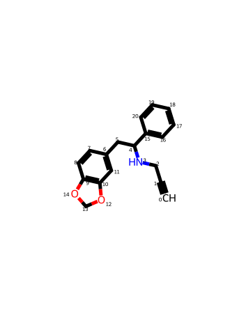 C#CCNC(Cc1ccc2c(c1)OCO2)c1ccccc1